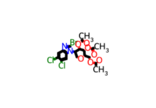 CC(=O)OCC1OCC(n2c(Br)nc3cc(Cl)c(Cl)cc32)C(OC(C)=O)C1OC(C)=O